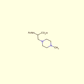 CC(=O)NC(CN1CCN(C)CC1)C(=O)O